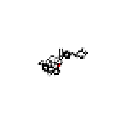 COc1ccc(OC)c(C(c2c(C)cccc2C)N(C(=O)O)c2ccnc(Nc3ccc(CCN4CCN(C)C(C)C4)cc3)n2)c1